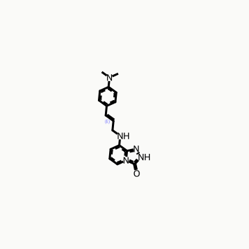 CN(C)c1ccc(/C=C/CNc2cccn3c(=O)[nH]nc23)cc1